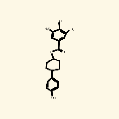 Cc1cc(C(=O)OC2CCC(c3ccc(O)cc3)CC2)cc(C)c1O